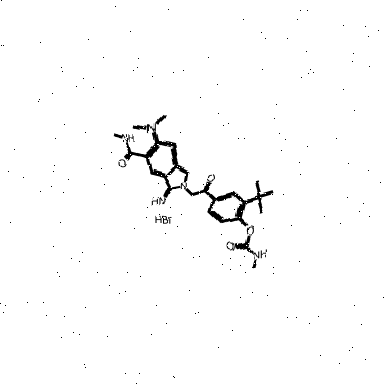 Br.CNC(=O)Oc1ccc(C(=O)CN2Cc3cc(N(C)C)c(C(=O)NC)cc3C2=N)cc1C(C)(C)C